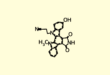 Cn1c2ccccc2c2c3c(c4c5cc(O)ccc5n(CCC#N)c4c21)C(=O)NC3=O